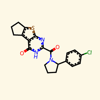 O=C(c1nc2sc3c(c2c(=O)[nH]1)CCC3)N1CCCC1c1ccc(Cl)cc1